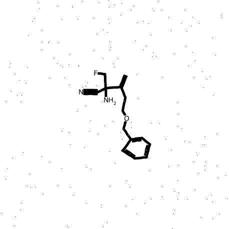 C=C(CCOCc1ccccc1)C(N)(C#N)CF